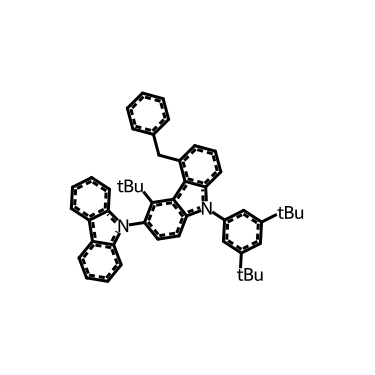 CC(C)(C)c1cc(-n2c3cccc(Cc4ccccc4)c3c3c(C(C)(C)C)c(-n4c5ccccc5c5ccccc54)ccc32)cc(C(C)(C)C)c1